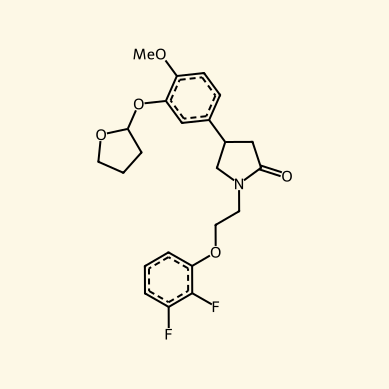 COc1ccc(C2CC(=O)N(CCOc3cccc(F)c3F)C2)cc1OC1CCCO1